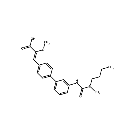 CCCCN(C)C(=O)Nc1cccc(-c2ccc(C=C(OC)C(=O)O)cc2)c1